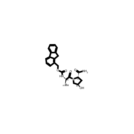 CC[C@H](C)[C@H](NC(=O)OCc1cccc2c1Cc1ccccc1-2)C(=O)N1C[C@H](O)C[C@H]1C(N)=O